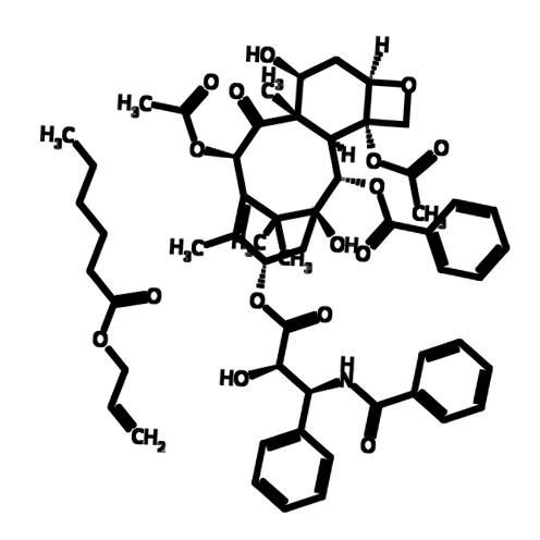 C=CCOC(=O)CCCCC.CC(=O)O[C@H]1C(=O)[C@@]2(C)[C@H]([C@H](OC(=O)c3ccccc3)[C@]3(O)C[C@H](OC(=O)[C@H](O)[C@@H](NC(=O)c4ccccc4)c4ccccc4)C(C)=C1C3(C)C)[C@]1(OC(C)=O)CO[C@@H]1C[C@@H]2O